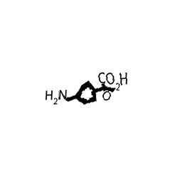 NCc1ccc(C2(C(=O)O)CO2)cc1